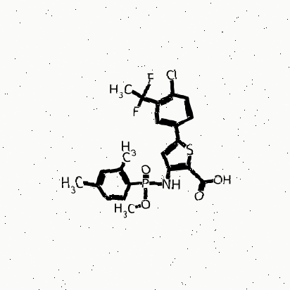 COP(=O)(Nc1cc(-c2ccc(Cl)c(C(C)(F)F)c2)sc1C(=O)O)c1ccc(C)cc1C